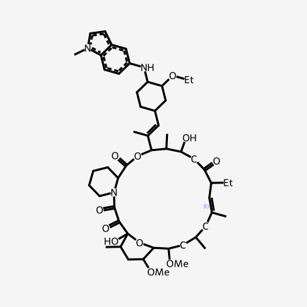 CCOC1CC(C=C(C)C2OC(=O)C3CCCCN3C(=O)C(=O)C3(O)OC(C(OC)CC(C)C/C(C)=C/C(CC)C(=O)CC(O)C2C)C(OC)CC3C)CCC1Nc1ccc2c(ccn2C)c1